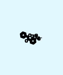 O=C(C(=O)c1cccc([N+](=O)[O-])c1O)c1ccccc1